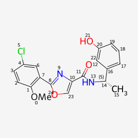 COc1ccc(Cl)cc1-c1nc(C(=O)N[C@@H](C)c2cccc(O)c2)co1